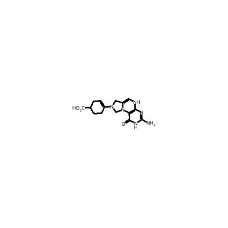 Nc1nc2c(c(=O)[nH]1)N1CN(C3=CCC(C(=O)O)CC3)CC1=CN2